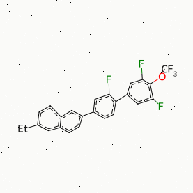 CCc1ccc2cc(-c3ccc(-c4cc(F)c(OC(F)(F)F)c(F)c4)c(F)c3)ccc2c1